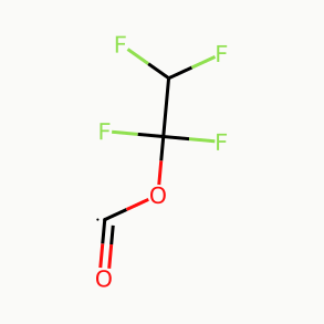 O=[C]OC(F)(F)C(F)F